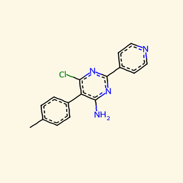 Cc1ccc(-c2c(N)nc(-c3ccncc3)nc2Cl)cc1